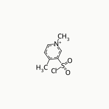 Cc1cc[n+](C)cc1S(=O)(=O)Cl